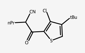 CCCC(C#N)C(=O)c1scc(C(C)(C)C)c1Cl